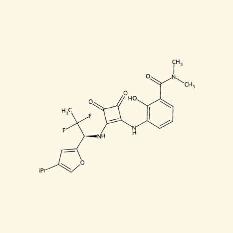 CC(C)c1coc([C@H](Nc2c(Nc3cccc(C(=O)N(C)C)c3O)c(=O)c2=O)C(C)(F)F)c1